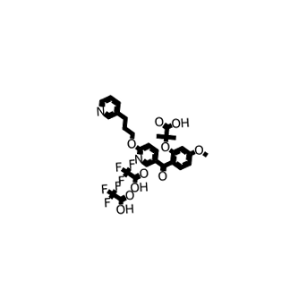 COc1ccc(C(=O)c2ccc(OCCCc3cccnc3)nc2)c(OC(C)(C)C(=O)O)c1.O=C(O)C(F)(F)F.O=C(O)C(F)(F)F